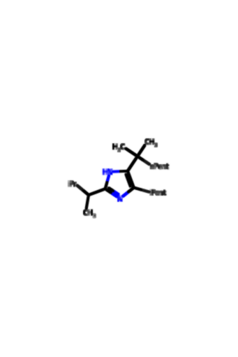 CCCCCC(C)(C)c1[nH]c(C(C)C(C)C)nc1C(C)CCC